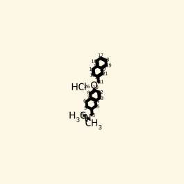 CN(C)CC1CCc2cc(OCc3ccc4ccccc4c3)ccc2C1.Cl